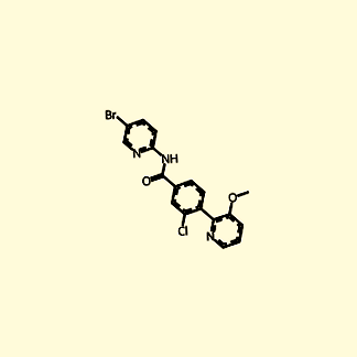 COc1cccnc1-c1ccc(C(=O)Nc2ccc(Br)cn2)cc1Cl